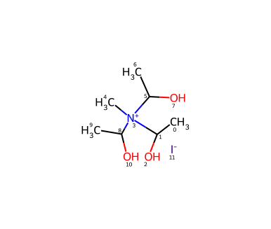 CC(O)[N+](C)(C(C)O)C(C)O.[I-]